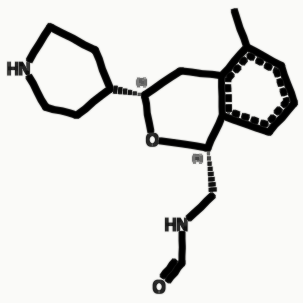 Cc1cccc2c1C[C@@H](C1CCNCC1)O[C@H]2CNC=O